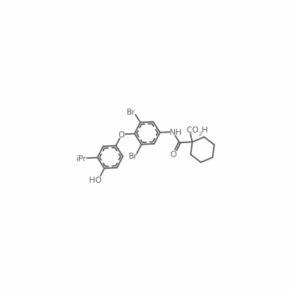 CC(C)c1cc(Oc2c(Br)cc(NC(=O)C3(C(=O)O)CCCCC3)cc2Br)ccc1O